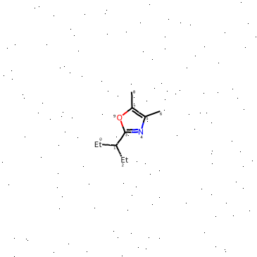 CCC(CC)c1nc(C)c(C)o1